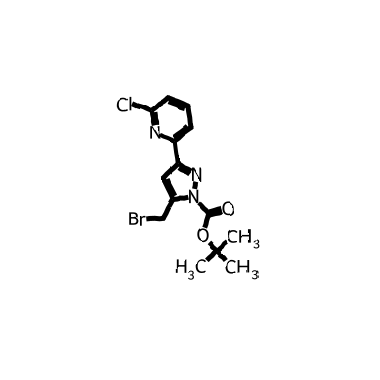 CC(C)(C)OC(=O)n1nc(-c2cccc(Cl)n2)cc1CBr